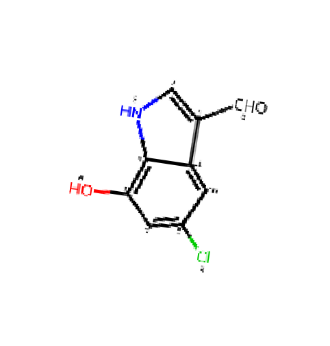 O=Cc1c[nH]c2c(O)cc(Cl)cc12